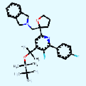 CC(C)(O[Si](C)(C)C(C)(C)C)c1cc(C2(CN3Cc4ccccc4C3)CCCO2)nc(-c2ccc(F)cc2)c1F